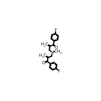 C=C(CN(C)CC(=C)C(=O)c1ccc(F)cc1)C(=O)c1ccc(F)cc1